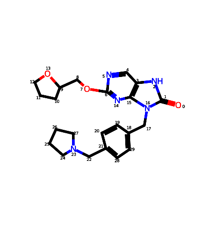 O=c1[nH]c2cnc(OCC3CCCO3)nc2n1Cc1ccc(CN2CCCC2)cc1